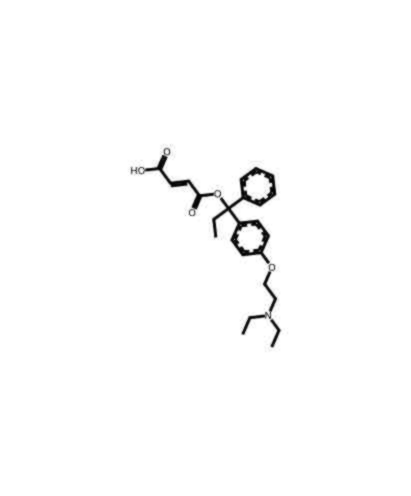 CCN(CC)CCOc1ccc(C(CC)(OC(=O)/C=C/C(=O)O)c2ccccc2)cc1